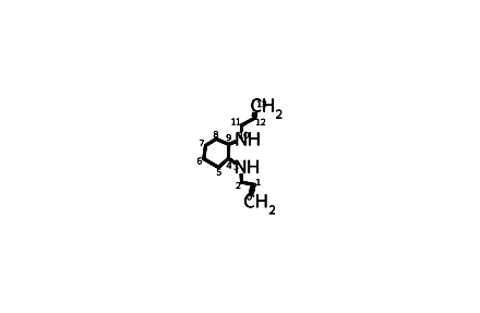 C=CCNC1CCCCC1NCC=C